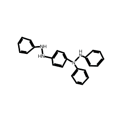 c1ccc(NNc2ccc(N(Nc3ccccc3)c3ccccc3)cc2)cc1